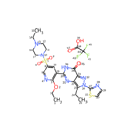 CCOc1ncc(S(=O)(=O)N2CCN(CC)CC2)cc1-c1nc2c(CC)n(-c3nccs3)nc2c(=O)[nH]1.O=C(O)C(F)(F)F